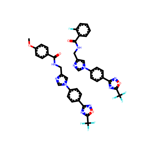 COc1ccc(C(=O)NCc2cn(-c3ccc(-c4noc(C(F)(F)F)n4)cc3)cn2)cc1.O=C(NCc1cn(-c2ccc(-c3noc(C(F)(F)F)n3)cc2)cn1)c1ccccc1F